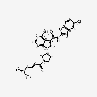 CCN(C)CC=CC(=O)N1CC[C@@H](n2nc(C(=O)Nc3nc4cc(Cl)ccc4o3)c3c(N)ncnc32)C1